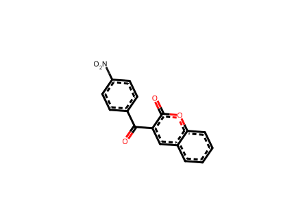 O=C(c1ccc([N+](=O)[O-])cc1)c1cc2ccccc2oc1=O